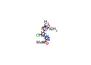 C=CC(=O)N1C[C@H](c2cc(Cl)nc(-c3cc(C(=O)NC)ncn3)c2)OC[C@H]1C